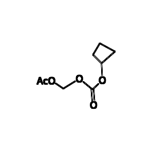 CC(=O)OCOC(=O)OC1CCC1